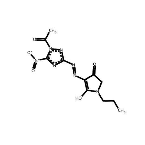 CCCN1CC(=O)C(N=Nc2nc([N+](=O)[O-])n(C(C)=O)n2)=C1O